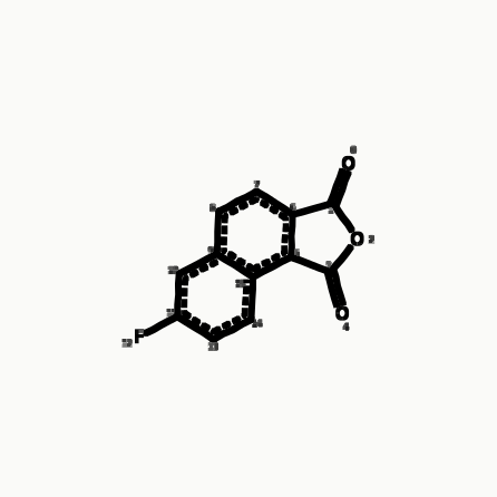 O=C1OC(=O)c2c1ccc1cc(F)ccc21